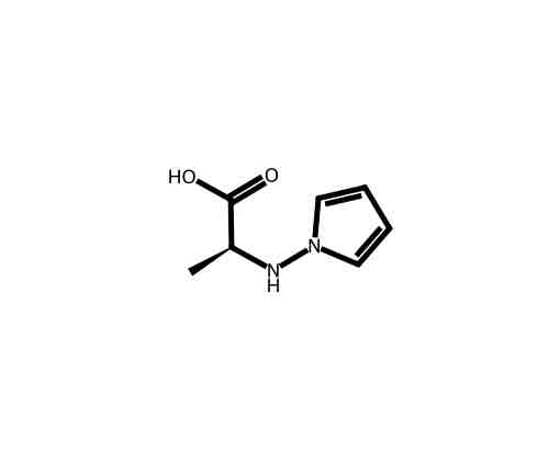 C[C@H](Nn1cccc1)C(=O)O